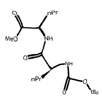 CCCC(NC(=O)[C@H](CCC)NC(=O)OC(C)(C)C)C(=O)OC